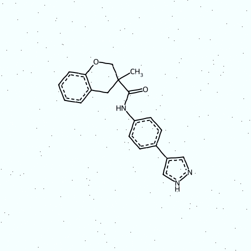 CC1(C(=O)Nc2ccc(-c3cn[nH]c3)cc2)COc2ccccc2C1